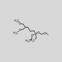 CCO[Si](CC)(CCCN(COC)COC)OCC